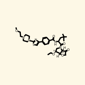 CCO[C@H]1CN(C(=O)C(CC(C)(C)C)NC(=O)c2ccc(-c3csc(N4CCN(CCOC)CC4)n3)cc2)[C@@H]2C(=O)CO[C@H]12